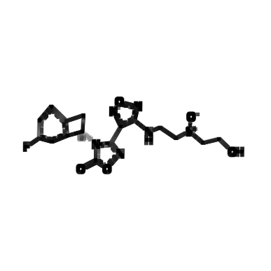 O=c1onc(-c2nonc2NCC[S+]([O-])CCO)n1[C@H]1Cc2ccc(F)cc21